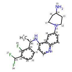 C[C@@H](Nc1ccnc2ccc(N3CCC(N)CC3)cc12)c1cccc(C(F)F)c1F